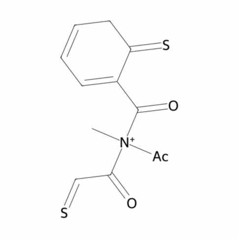 CC(=O)[N+](C)(C(=O)C=S)C(=O)C1=CC=CCC1=S